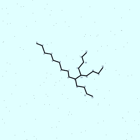 CCCCCCCCCC(CCCC)[C](CCCC)CCCC